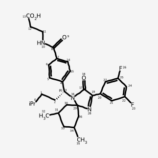 CC(C)CC[C@H](c1ccc(C(=O)NCCC(=O)O)cc1)N1C(=O)C(c2cc(F)cc(F)c2)=NC12CC(C)CC(C)C2